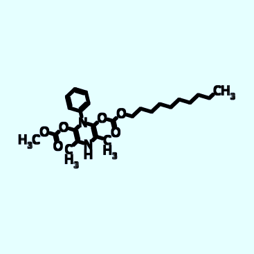 CCCCCCCCCCOC(=O)OC1=C(C)NC(C)=C(OC(=O)OC)N1c1ccccc1